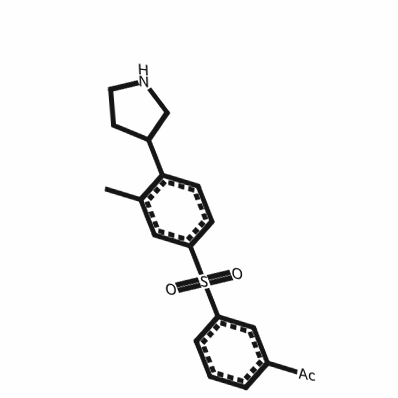 CC(=O)c1cccc(S(=O)(=O)c2ccc(C3CCNC3)c(C)c2)c1